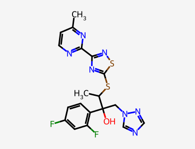 Cc1ccnc(-c2nsc(SC(C)C(O)(Cn3cncn3)c3ccc(F)cc3F)n2)n1